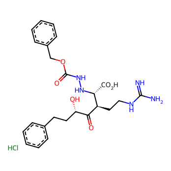 Cl.N=C(N)NCC[C@@H](C(=O)[C@@H](O)CCc1ccccc1)[C@H](NNC(=O)OCc1ccccc1)C(=O)O